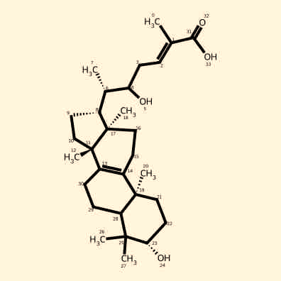 C/C(=C\CC(O)[C@@H](C)[C@H]1CC[C@@]2(C)C3=C(CC[C@]12C)[C@@]1(C)CC[C@H](O)C(C)(C)C1CC3)C(=O)O